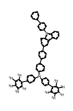 [2H]c1c([2H])c([2H])c(-c2ccc(N(c3ccc(-c4ccc(-c5ccc6c(c5)c5ccccc5n6-c5ccc(-c6ccccc6)cc5)cc4)cc3)c3ccc(-c4c([2H])c([2H])c([2H])c([2H])c4[2H])cc3)cc2)c([2H])c1[2H]